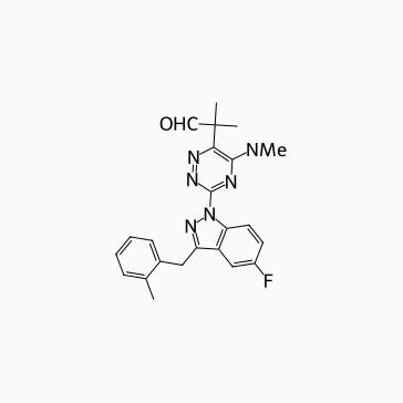 CNc1nc(-n2nc(Cc3ccccc3C)c3cc(F)ccc32)nnc1C(C)(C)C=O